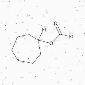 CCC(=O)OC1(CC)CCCCCC1